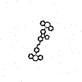 C(=C\c1ccc2c(c1)C1(CCCC1)c1cc(N3c4ccccc4CCc4ccccc43)ccc1-2)/c1ccc(N2c3ccccc3CCc3ccccc32)cc1